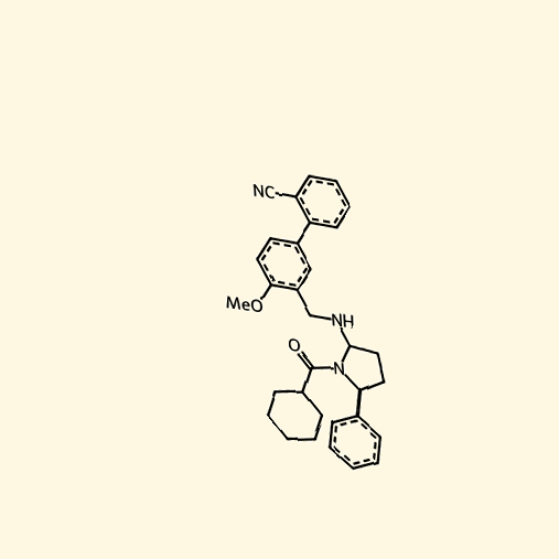 COc1ccc(-c2ccccc2C#N)cc1CNC1CCC(c2ccccc2)N1C(=O)C1CCCCC1